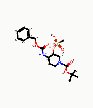 CC(C)(C)OC(=O)N1CCC(NC(=O)OCc2ccccc2)C(OS(C)(=O)=O)C1